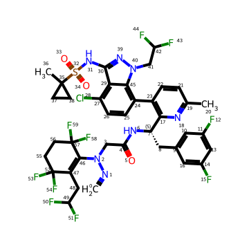 C=NN(CC(=O)N[C@@H](Cc1cc(F)cc(F)c1)c1nc(C)ccc1-c1ccc(Cl)c2c(NS(=O)(=O)C3(C)CC3)nn(CC(F)F)c12)C1=C(CC(F)F)C(F)(F)CCC1(F)F